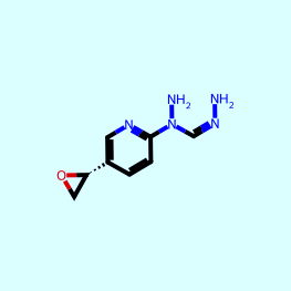 N/N=C\N(N)c1ccc([C@@H]2CO2)cn1